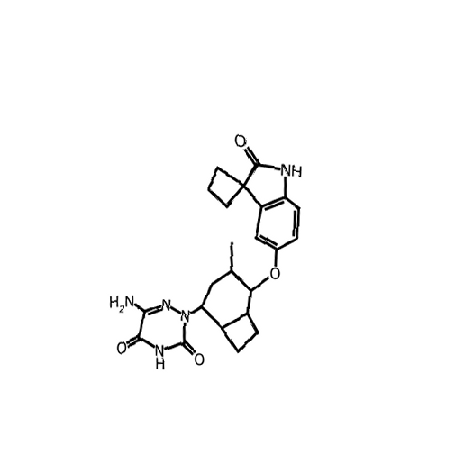 CC1CC(n2nc(N)c(=O)[nH]c2=O)C2CCC2C1Oc1ccc2c(c1)C1(CCC1)C(=O)N2